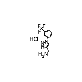 Cl.NCc1cn(-c2cccc(C(F)(F)F)c2)nn1